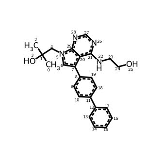 CC(C)(O)Cn1cc(-c2ccc(-c3ccccc3)cc2)c2c(NCCO)ncnc21